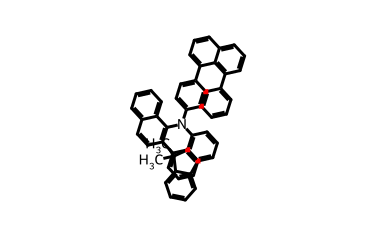 CC1(C)c2ccccc2-c2cccc(N(c3ccc(-c4cccc5cccc(-c6ccccc6)c45)cc3)c3c(-c4ccccc4)ccc4ccccc34)c21